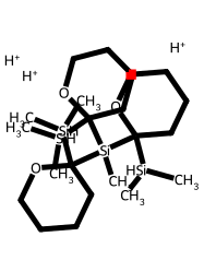 C[SiH](C)C1([Si](C)(C2([SiH](C)C)CCCCO2)C2([SiH](C)C)CCCCO2)CCCCO1.[H+].[H+].[H+]